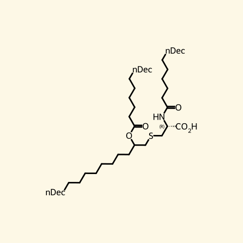 CCCCCCCCCCCCCCCCCCC(CSC[C@H](NC(=O)CCCCCCCCCCCCCCC)C(=O)O)OC(=O)CCCCCCCCCCCCCCC